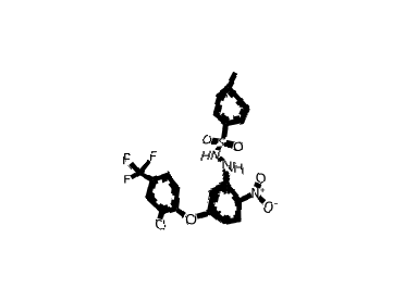 Cc1ccc(S(=O)(=O)NNc2cc(Oc3ccc(C(F)(F)F)cc3Cl)ccc2[N+](=O)[O-])cc1